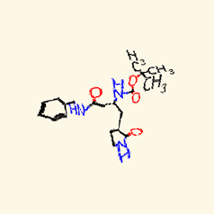 CC(C)(C)OC(=O)N[C@H](CC(=O)NCc1ccccc1)C[C@@H]1CCNC1=O